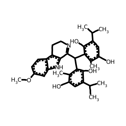 COc1ccc2c3c([nH]c2c1)C(C(c1c(C)c(O)cc(C(C)C)c1O)c1c(C)c(O)cc(C(C)C)c1O)=NCC3